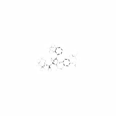 COc1cc2c(cc1OC(C)C)-n1c(-c3cccc4c3OCO4)nc(C(=O)N3CCOCC3(C)C)c1CC2